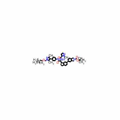 Cc1nn(COCC[Si](C)(C)C)c(C)c1-c1ccc(NC(=O)[C@@H](NC(=O)c2ccnn2C)[C@@H]2CCc3ccc(-c4ccc5c(c4)CN(C(=O)OC(C)(C)C)C5)cc32)cc1